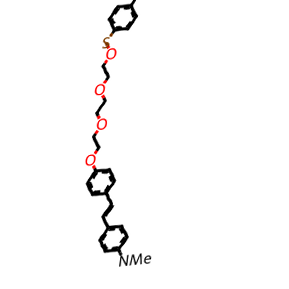 CNc1ccc(/C=C/c2ccc(OCCOCCOCCOSc3ccc(C)cc3)cc2)cc1